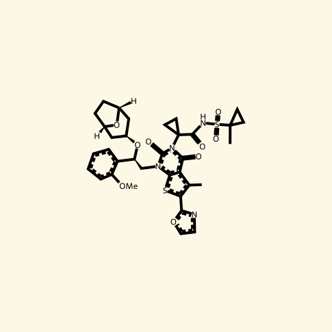 COc1ccccc1[C@H](Cn1c(=O)n(C2(C(=O)NS(=O)(=O)C3(C)CC3)CC2)c(=O)c2c(C)c(-c3ncco3)sc21)O[C@@H]1C[C@H]2CC[C@@H](C1)O2